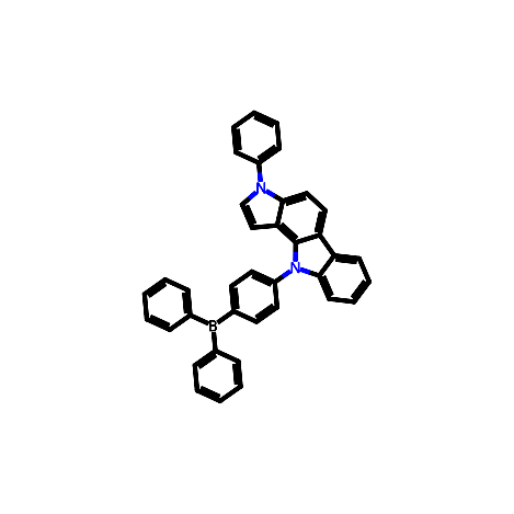 c1ccc(B(c2ccccc2)c2ccc(-n3c4ccccc4c4ccc5c(ccn5-c5ccccc5)c43)cc2)cc1